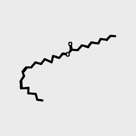 CCCCC/C=C\C/C=C\CCCCCCCCOC(=O)CCCCCCCCC